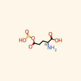 N[C@@H](CCC(=O)O[P](=O)O)C(=O)O